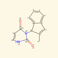 CC1=Cc2ccccc2C1n1c(=O)cc[nH]c1=O